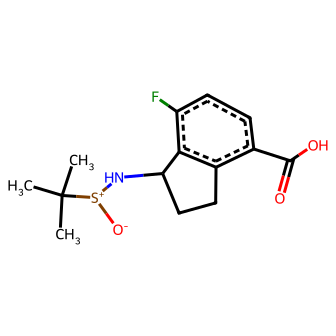 CC(C)(C)[S+]([O-])NC1CCc2c(C(=O)O)ccc(F)c21